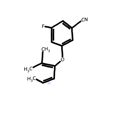 C/C=C\C(Oc1cc(F)cc(C#N)c1)=C(C)C